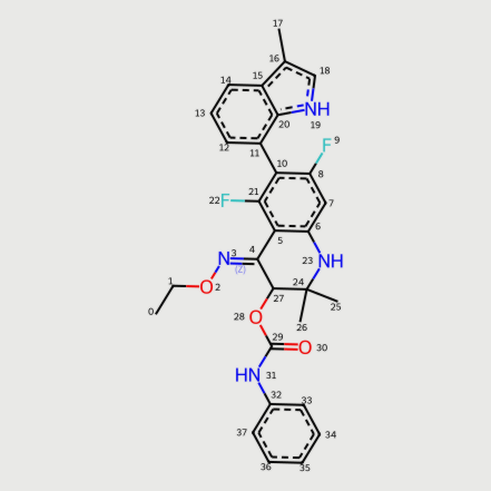 CCO/N=C1/c2c(cc(F)c(-c3cccc4c(C)c[nH]c34)c2F)NC(C)(C)C1OC(=O)Nc1ccccc1